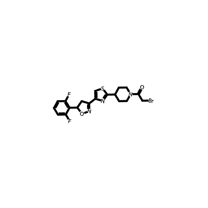 O=C(CBr)N1CCC(c2nc(C3=NOC(c4c(F)cccc4F)C3)cs2)CC1